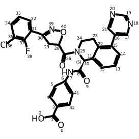 O=C(O)c1ccc(NC(=O)[C@@H]2c3cccc(-c4cncnc4)c3CCN2C(=O)C2CC(c3cccc(Cl)c3F)=NO2)cc1